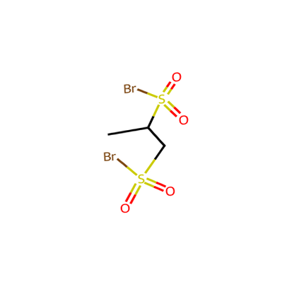 CC(CS(=O)(=O)Br)S(=O)(=O)Br